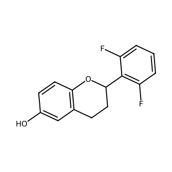 Oc1ccc2c(c1)CCC(c1c(F)cccc1F)O2